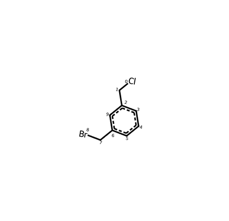 ClCc1cccc(CBr)c1